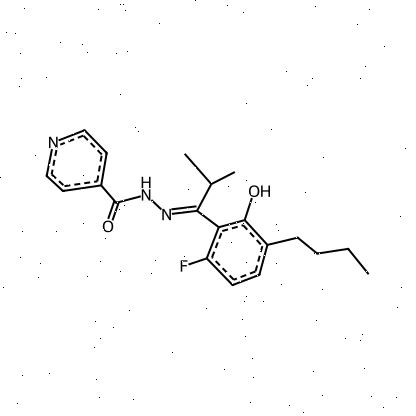 CCCCc1ccc(F)c(/C(=N/NC(=O)c2ccncc2)C(C)C)c1O